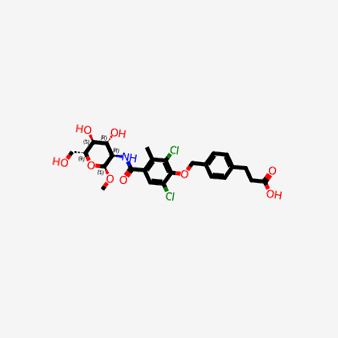 CO[C@H]1O[C@H](CO)[C@@H](O)[C@H](O)[C@H]1NC(=O)c1cc(Cl)c(OCc2ccc(CCC(=O)O)cc2)c(Cl)c1C